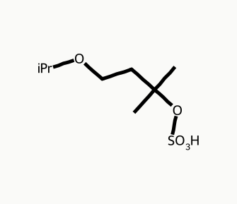 CC(C)OCCC(C)(C)OS(=O)(=O)O